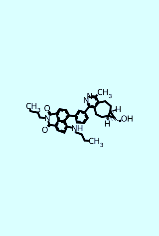 CCCCNc1ccc2c3c(ccc(-c4cccc(-c5nnc(C)c6c5CC[C@H]5[C@@H](CO)[C@H]5CC6)c4)c13)C(=O)N(CCCC)C2=O